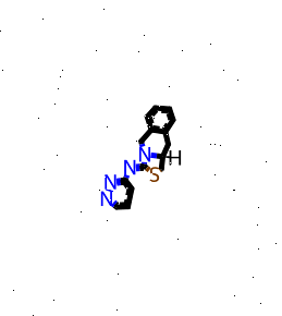 c1cnnc(N=C2SC[C@@H]3Cc4ccccc4CN23)c1